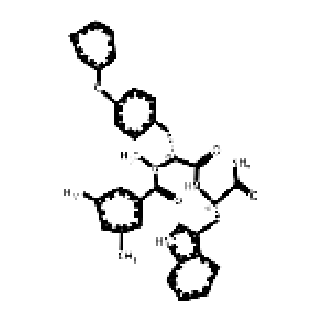 Cc1cc(C)cc(C(=O)N(C)[C@H](Cc2ccc(Oc3ccccc3)cc2)C(=O)N[C@@H](Cc2c[nH]c3ccccc23)C(N)=O)c1